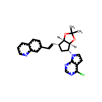 CC1(C)O[C@@H]2[C@H](O1)[C@@H](/C=C/c1ccc3cccnc3c1)C[C@H]2n1ccc2c(Cl)ncnc21